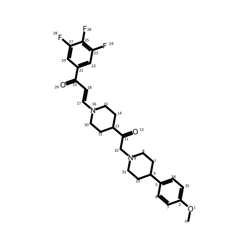 COc1ccc(C2CCN(CC(=O)C3CCN(C=CC(=O)c4cc(F)c(F)c(F)c4)CC3)CC2)cc1